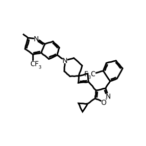 Cc1cc(C(F)(F)F)c2cc(N3CCC4(C=C(c5c(-c6ccccc6C(F)(F)F)noc5C5CC5)C4)CC3)ccc2n1